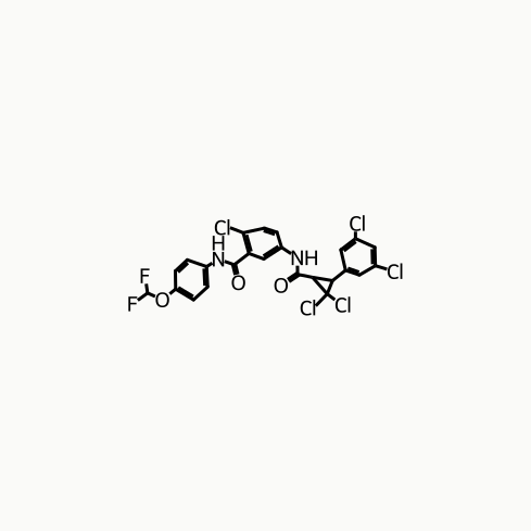 O=C(Nc1ccc(OC(F)F)cc1)c1cc(NC(=O)C2C(c3cc(Cl)cc(Cl)c3)C2(Cl)Cl)ccc1Cl